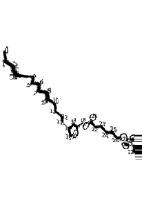 CCCCCCCCCCCCCC[C@H]1CO[C@H](COC(=O)CCCCCOS(=O)(=O)c2ccc(C)cc2)C1